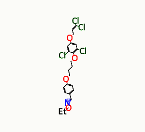 CCO/N=C/c1ccc(OCCCCOc2c(Cl)cc(OCC=C(Cl)Cl)cc2Cl)cc1